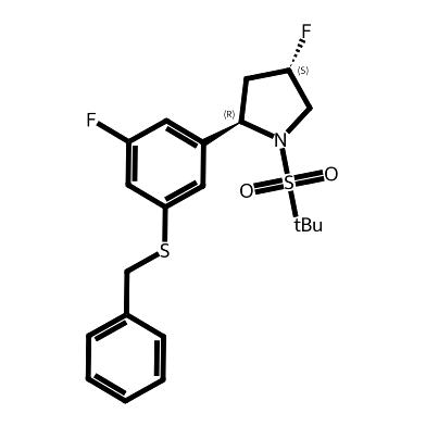 CC(C)(C)S(=O)(=O)N1C[C@@H](F)C[C@@H]1c1cc(F)cc(SCc2ccccc2)c1